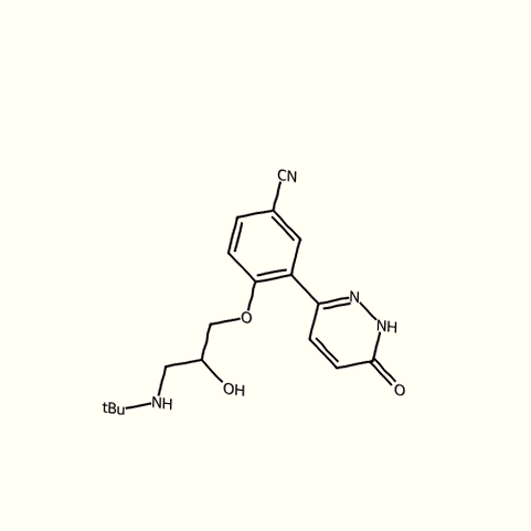 CC(C)(C)NCC(O)COc1ccc(C#N)cc1-c1ccc(=O)[nH]n1